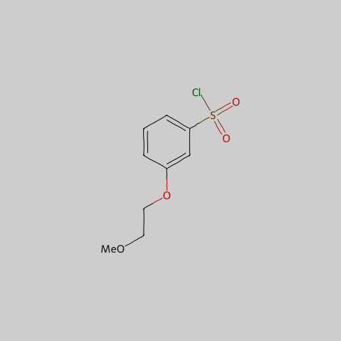 COCCOc1cccc(S(=O)(=O)Cl)c1